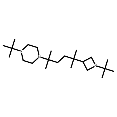 CC(C)(CCC(C)(C)N1CCN(C(C)(C)C)CC1)C1CN(C(C)(C)C)C1